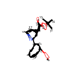 COc1cccc(-c2cc(C(=O)OC(C)(C)C)ccn2)c1